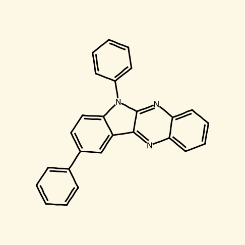 c1ccc(-c2ccc3c(c2)c2nc4ccccc4nc2n3-c2ccccc2)cc1